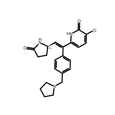 O=C1CC[C@H](/C=C(\c2ccc(CN3CCCC3)cc2)c2ccc(Cl)c(=O)[nH]2)N1